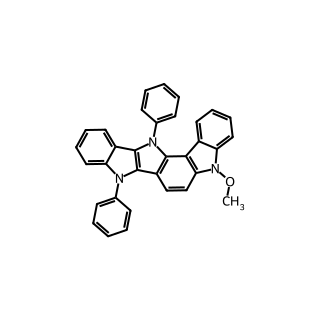 COn1c2ccccc2c2c1ccc1c3c(c4ccccc4n3-c3ccccc3)n(-c3ccccc3)c12